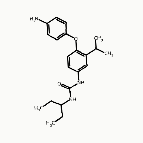 CCC(CC)NC(=O)Nc1ccc(Oc2ccc(N)cc2)c(C(C)C)c1